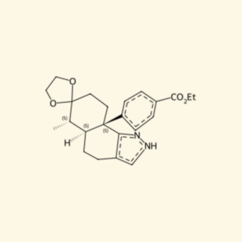 CCOC(=O)c1ccc([C@]23CCC4(OCCO4)[C@@H](C)[C@@H]2CCc2c[nH]nc23)cc1